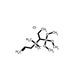 C=CC[N+](C)(C)C(CC)[Si](OC)(OC)OC.[Cl-]